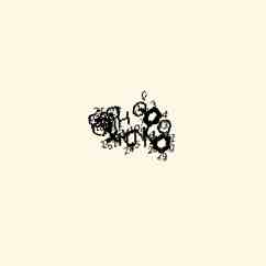 COc1ccc2c(c1)C(N1CCN(CC(C)(C)C(=O)NS(C)(=O)=O)CC1)=Nc1ccccc1O2